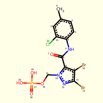 Cc1ccc(NC(=O)c2c(Br)c(Br)nn2COP(=O)(O)O)c(Cl)c1